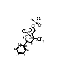 CS(=O)(=O)OCCC(CC(OS(C)(=O)=O)c1ccccn1)C(F)(F)F